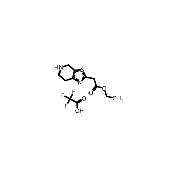 CCOC(=O)Cc1nc2c(s1)CNCC2.O=C(O)C(F)(F)F